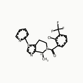 C[C@H]1c2ncn(-c3ccccn3)c2CCN1C(=O)c1cccc(C(F)(F)F)c1Cl